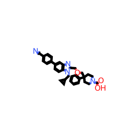 N#Cc1ccc(-c2ccc3c(c2)nc(COCC2(c4ccccc4)CCN(C(=O)O)CC2)n3CC2CC2)cc1